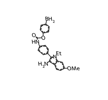 Bc1ccc(OC(=O)Nc2ccc(-c3c(N)c4ccc(OC)cc4n3CC)cc2)cc1